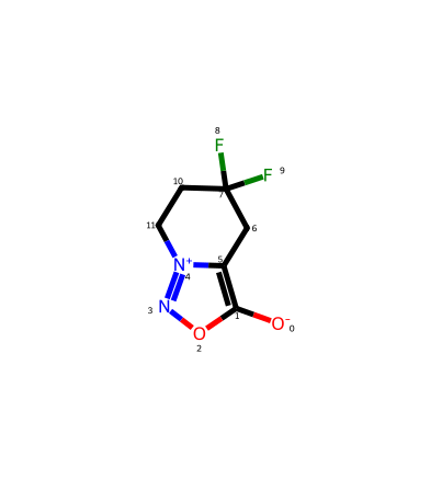 [O-]c1on[n+]2c1CC(F)(F)CC2